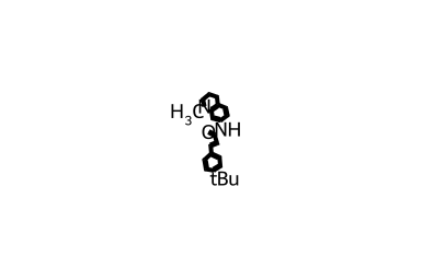 CN1CCCc2ccc(NC(=O)/C=C/c3ccc(C(C)(C)C)cc3)cc21